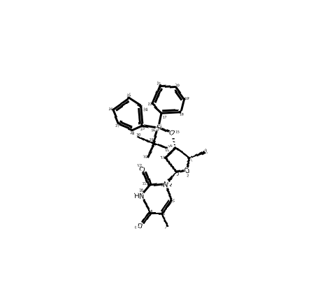 [CH2][C@H]1O[C@@H](n2cc(C)c(=O)[nH]c2=O)C[C@@H]1O[Si](c1ccccc1)(c1ccccc1)C(C)(C)C